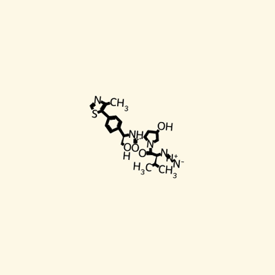 Cc1ncsc1-c1ccc([C@H](CO)NC(=O)[C@@H]2CC(O)CN2C(=O)[C@@H](N=[N+]=[N-])C(C)C)cc1